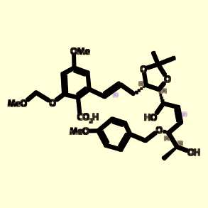 COCOc1cc(OC)cc(/C=C/C[C@@H]2OC(C)(C)O[C@@H]2C(O)/C=C\[C@@H](OCc2ccc(OC)cc2)[C@H](C)O)c1C(=O)O